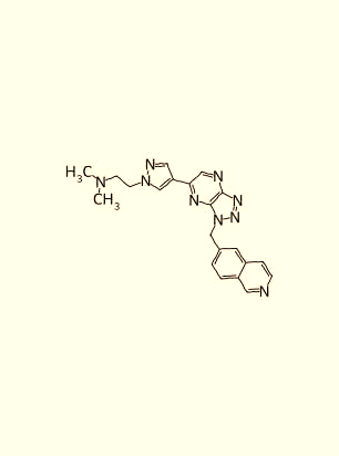 CN(C)CCn1cc(-c2cnc3nnn(Cc4ccc5cnccc5c4)c3n2)cn1